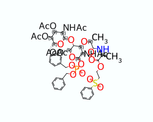 CC(=O)N[C@H]1[C@H](OC2[C@@H](COC(C)=O)O[C@H](OP(=O)(OCc3ccccc3)OCc3ccccc3)[C@H](NC(C)=O)[C@H]2O[C@H](C)C(=O)N[C@@H](C)C(=O)OCCS(=O)(=O)c2ccccc2)O[C@H](COC(C)=O)[C@@H](OC(C)=O)[C@@H]1OC(C)=O